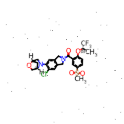 C[C@H](Oc1ccc(S(C)(=O)=O)cc1C(=O)N1Cc2cc(Cl)c(N3C[C@@H]4C[C@H]3CO4)cc2C1)C(F)(F)F